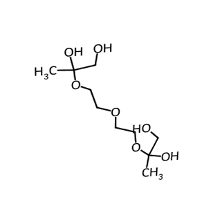 CC(O)(CO)OCCOCCOC(C)(O)CO